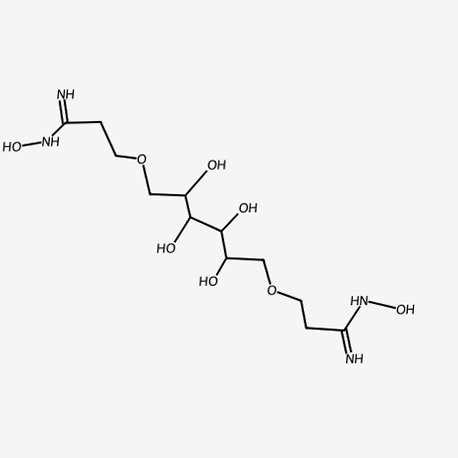 N=C(CCOCC(O)C(O)C(O)C(O)COCCC(=N)NO)NO